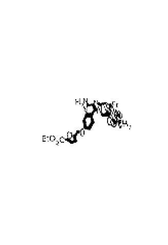 CCOCc1nc2c(N)nc3cc(OCc4ccc(C(=O)OCC)o4)ccc3c2n1CC(C)(C)NS(C)(=O)=O